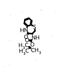 CC(C)(C)OC(=O)N[C@H]1CSc2ccccc2NC1=O